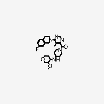 COC1COCCC1NC1CCN(C(=O)c2ncnc(N3CCc4ccc(F)cc4C3)c2C)CC1